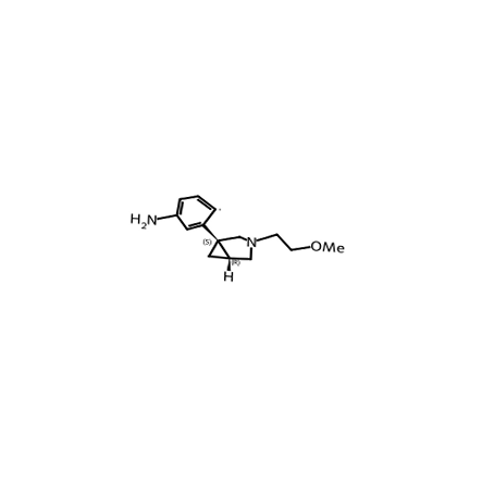 COCCN1C[C@@H]2C[C@]2(c2[c]ccc(N)c2)C1